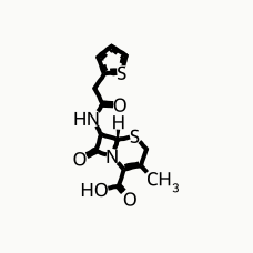 CC1=C(C(=O)O)N2C(=O)C(NC(=O)Cc3cccs3)[C@@H]2SC1